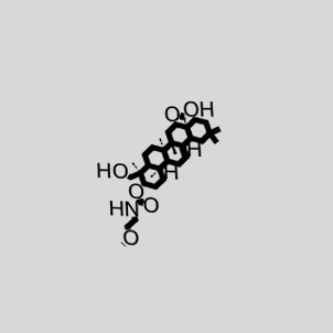 COCCNC(=O)O[C@H]1CC[C@@]2(C)C(CC[C@]3(C)[C@@H]2CC=C2[C@H]4CC(C)(C)CC[C@]4(C(=O)O)CC[C@]23C)[C@]1(C)CO